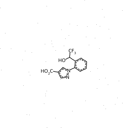 O=C(O)c1cnn(-c2ccccc2C(O)C(F)(F)F)c1